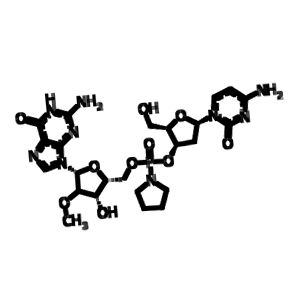 COC1[C@@H](O)[C@@H](COP(=O)(O[C@@H]2C[C@H](n3ccc(N)nc3=O)O[C@@H]2CO)N2CCCC2)O[C@H]1n1cnc2c(=O)[nH]c(N)nc21